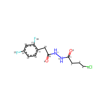 O=C(CCCCl)NNC(=O)Cc1ccc(F)cc1F